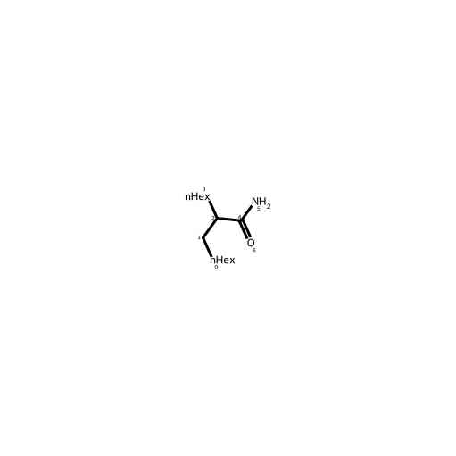 CCCCCCCC(CCCCCC)C(N)=O